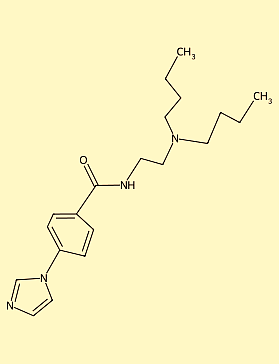 CCCCN(CCCC)CCNC(=O)c1ccc(-n2ccnc2)cc1